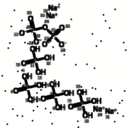 O=P(O)(O)O.O=P(O)(O)O.O=P(O)(O)O.O=P(O)(O)O.O=P([O-])([O-])OP(=O)([O-])[O-].[Na+].[Na+].[Na+].[Na+]